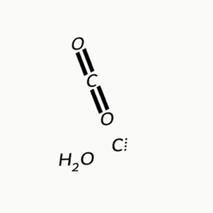 O.O=C=O.[C]